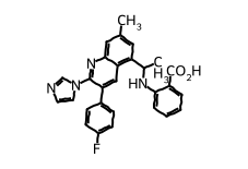 Cc1cc(C(C)Nc2ccccc2C(=O)O)c2cc(-c3ccc(F)cc3)c(-n3ccnc3)nc2c1